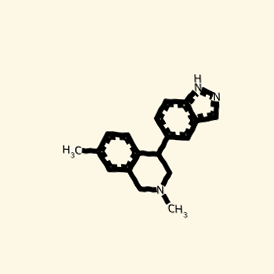 Cc1ccc2c(c1)CN(C)CC2c1ccc2[nH]ncc2c1